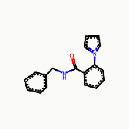 O=C(NCc1ccccc1)c1ccccc1-n1cccc1